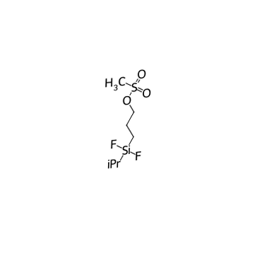 CC(C)[Si](F)(F)CCCOS(C)(=O)=O